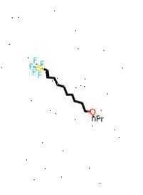 CCCOCCCCCCCC/C=C/S(F)(F)(F)(F)F